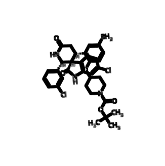 Bc1ccc(OC2CCN(C(=O)OC(C)(C)C)CC2)c([C@H]2CC(=O)N[C@@H](c3cccc(Cl)c3)[C@]23C(=O)Nc2cc(Cl)ccc23)c1